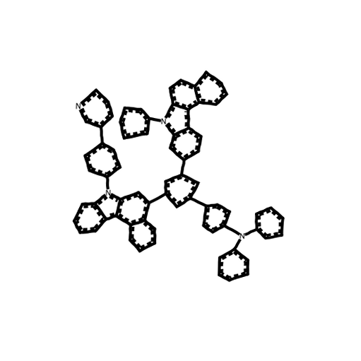 c1ccc(N(c2ccccc2)c2ccc(-c3cc(-c4ccc5c6c7ccccc7ccc6n(-c6ccccc6)c5c4)cc(-c4cc5c(c6ccccc46)c4ccccc4n5-c4ccc(-c5cccnc5)cc4)c3)cc2)cc1